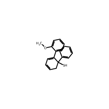 COc1ccccc1C1=CC=CCC1(S)c1ccccc1